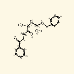 C[C@H](N[C@@H](O)OCc1ccccc1)C(=O)NCC(=O)c1ccccc1